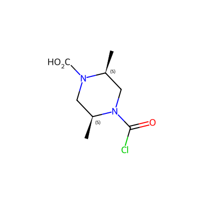 C[C@H]1CN(C(=O)Cl)[C@@H](C)CN1C(=O)O